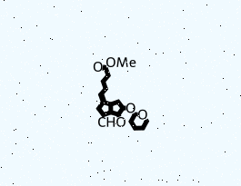 COC(=O)CCCC=C1CCC2C1CC(OC1CCCCO1)C2C=O